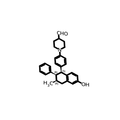 C[C@@H]1Cc2cc(O)ccc2[C@H](c2ccc(N3CCC(C=O)CC3)cc2)[C@@H]1c1ccccc1